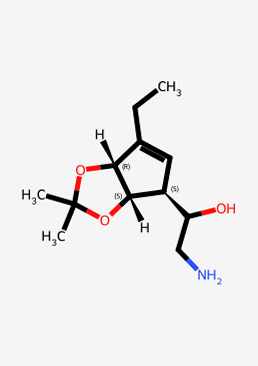 CCC1=C[C@@H](C(O)CN)[C@@H]2OC(C)(C)O[C@H]12